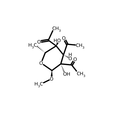 CO[C@H]1O[C@H](C)[C@](O)(C(C)=O)[C@@](O)(C(C)=O)[C@@]1(O)C(C)=O